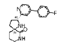 O=C1NCCC[C@]12CC[C@H](c1cc(-c3ccc(F)cc3)ccn1)N2